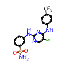 NS(=O)(=O)c1cccc(Nc2ncc(F)c(Nc3ccc(C(F)(F)F)cc3)n2)c1